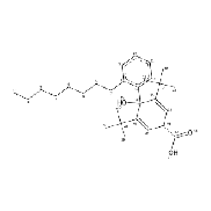 CCCCCCCCc1ccccc1C1(O)C(C(C)(C)C)=CC(C(=O)O)C=C1C(C)(C)C